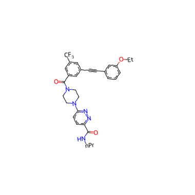 CCCNC(=O)c1ccc(N2CCN(C(=O)c3cc(C#Cc4cccc(OCC)c4)cc(C(F)(F)F)c3)CC2)nn1